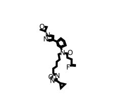 C=C(F)CCC(=O)N(CCCCCc1nc(C2CC2)no1)c1cccc(-c2cnn(C3COC3)c2)c1